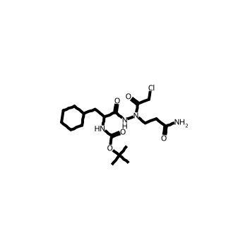 CC(C)(C)OC(=O)NC(CC1CCCCC1)C(=O)NN(CCC(N)=O)C(=O)CCl